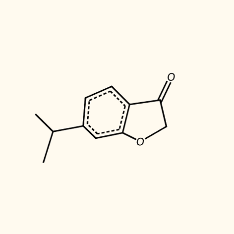 CC(C)c1ccc2c(c1)OCC2=O